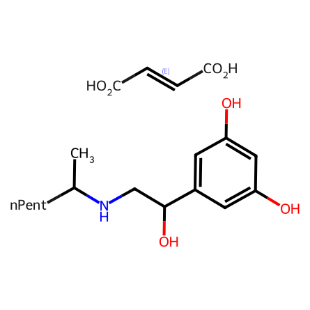 CCCCCC(C)NCC(O)c1cc(O)cc(O)c1.O=C(O)/C=C/C(=O)O